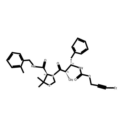 CCC#CCOC(=O)N[C@@H](Cc1ccccc1)[C@H](O)C(=O)N1CSC(C)(C)[C@H]1C(=O)NCc1ccccc1C